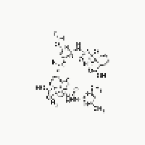 CC1(S(=O)(=O)NC(=O)Nc2nc(OC(F)F)cc(OC(F)F)n2)C=CC=CC1C(=O)O.Cc1cc(C)nc(NC(=O)NS(=O)(=O)C2C(Cl)=CC=CC2(C(=O)O)C(C)C)n1